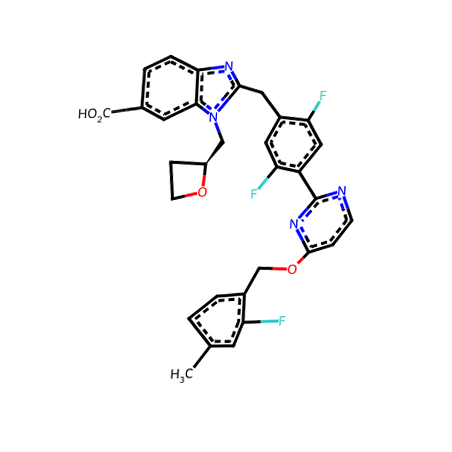 Cc1ccc(COc2ccnc(-c3cc(F)c(Cc4nc5ccc(C(=O)O)cc5n4C[C@@H]4CCO4)cc3F)n2)c(F)c1